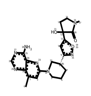 Cc1cc(N2CCC[C@@H](c3cc(C4(O)CCN(C)C4=O)on3)C2)nc2c(N)ncnc12